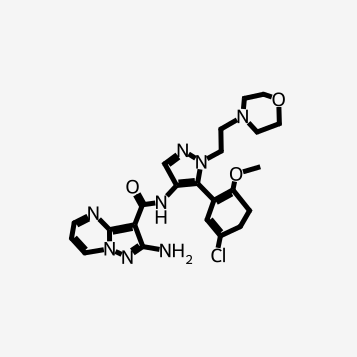 COC1=C(c2c(NC(=O)c3c(N)nn4cccnc34)cnn2CCN2CCOCC2)C=C(Cl)CC1